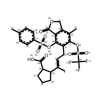 C/C(=C\Cc1c(OS(=O)(=O)C(F)(F)F)c(C)c2c(c1OS(=O)(=O)c1ccc(C)cc1)C(=O)OC2)C1CCCC1C(=O)O